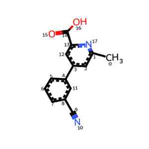 Cc1cc(-c2cccc(C#N)c2)cc(C(=O)O)n1